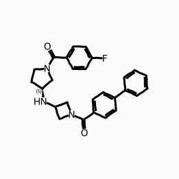 O=C(c1ccc(-c2ccccc2)cc1)N1CC(N[C@H]2CCN(C(=O)c3ccc(F)cc3)C2)C1